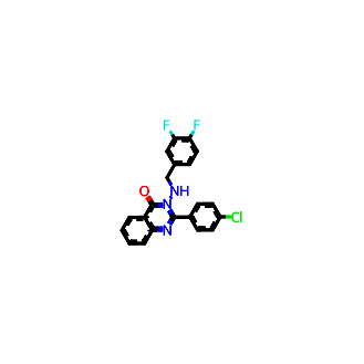 O=c1c2ccccc2nc(-c2ccc(Cl)cc2)n1NCc1ccc(F)c(F)c1